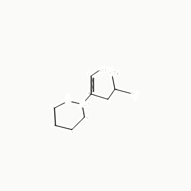 CCC(C#N)CC(=CC(C)C)[SiH]1CCCCO1